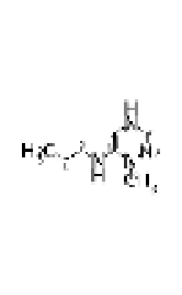 CCCNC1=CNC=NN1C